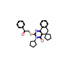 O=C(CSc1nc2c(c(=O)n1C1CCCC1)C1(CCCC1)Cc1ccccc1-2)c1ccccc1